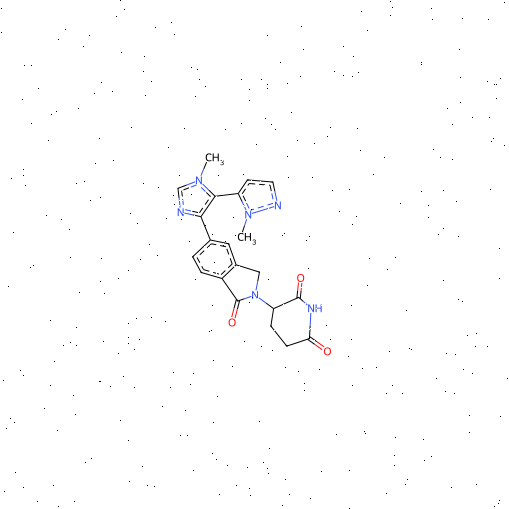 Cn1cnc(-c2ccc3c(c2)CN(C2CCC(=O)NC2=O)C3=O)c1-c1ccnn1C